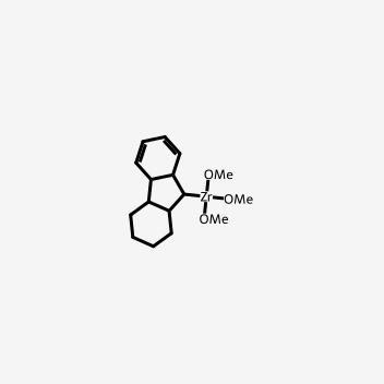 C[O][Zr]([O]C)([O]C)[CH]1C2C=CC=CC2C2CCCCC21